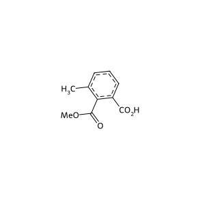 COC(=O)c1c(C)cccc1C(=O)O